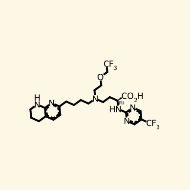 O=C(O)[C@H](CCN(CCCCc1ccc2c(n1)NCCC2)CCOCC(F)(F)F)Nc1ncc(C(F)(F)F)cn1